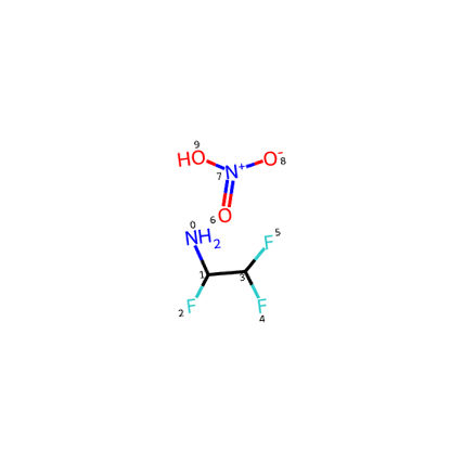 NC(F)C(F)F.O=[N+]([O-])O